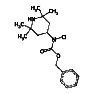 CC1(C)CC(N(Cl)C(=O)OCc2ccccc2)CC(C)(C)N1